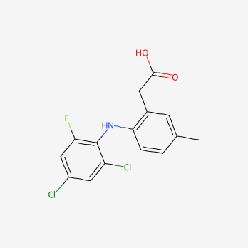 Cc1ccc(Nc2c(F)cc(Cl)cc2Cl)c(CC(=O)O)c1